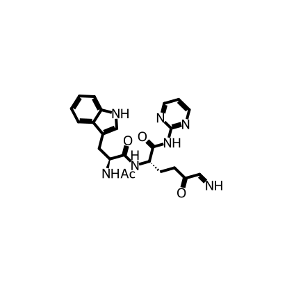 CC(=O)N[C@@H](Cc1c[nH]c2ccccc12)C(=O)N[C@@H](CCC(=O)C=N)C(=O)Nc1ncccn1